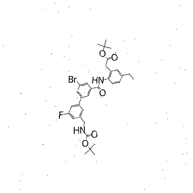 CCc1ccc(NC(=O)c2cc(Br)cc(-c3cc(F)cc(CNC(=O)OC(C)(C)C)c3)c2)c(CC(=O)OC(C)(C)C)c1